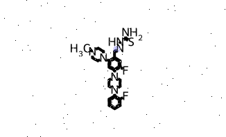 CN1CCN(c2cc(N3CCN(c4ccccc4F)CC3)c(F)cc2/C=N/NC(N)=S)CC1